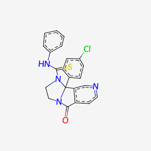 O=C1c2ccncc2C2(c3ccc(Cl)cc3)N1CCN2C(=S)Nc1ccccc1